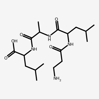 CC(C)CC(NC(=O)C(C)NC(=O)C(CC(C)C)NC(=O)CCN)C(=O)O